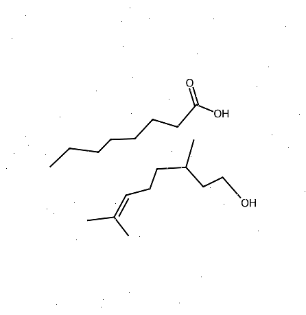 CC(C)=CCCC(C)CCO.CCCCCCCC(=O)O